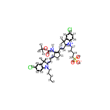 CCCCCN1/C(=C/C=C2\CCC(/C=C/C3=[N+](CCCCS(=O)(=O)[O-])c4ccc(Cl)cc4C3(C)C)=C2N(C)C(=O)OC(C)(C)C)C(C)(C)c2cc(Cl)ccc21